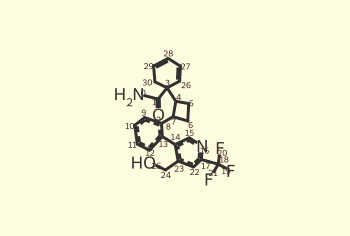 NC(=O)C1(C2CCC2c2ccccc2-c2cnc(C(F)(F)F)cc2CO)C=CC=CC1